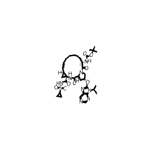 CC(C)n1c(O[C@@H]2C[C@H]3C(=O)N[C@]4(C(=O)NS(=O)(=O)C5CC5)C[C@H]4/C=C\CCCCC[C@H](NC(=O)OC(C)(C)C)C(=O)N3C2)nc2cncnc21